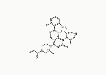 C=CC(=O)N1CCN(c2nc(=O)n(-c3c(C)cncc3C)c3c(F)c(-c4c(N)cccc4F)ncc23)[C@@H](C)C1